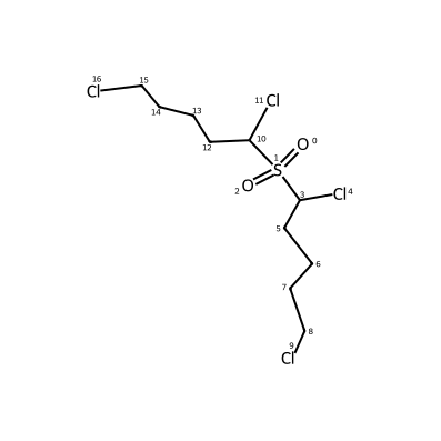 O=S(=O)(C(Cl)CCCCCl)C(Cl)CCCCCl